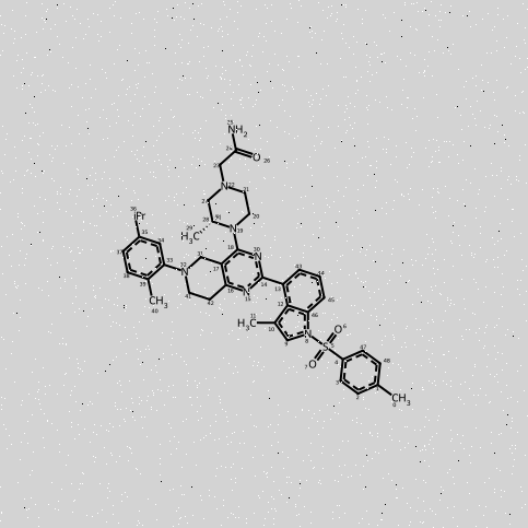 Cc1ccc(S(=O)(=O)n2cc(C)c3c(-c4nc5c(c(N6CCN(CC(N)=O)C[C@H]6C)n4)CN(c4cc(C(C)C)ccc4C)CC5)cccc32)cc1